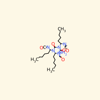 CCCCCC(N=C=O)N(C(N)=O)C(=O)N(C(CCCCC)N=C=O)C(CCCCC)N=C=O